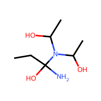 CCC(N)(O)N(C(C)O)C(C)O